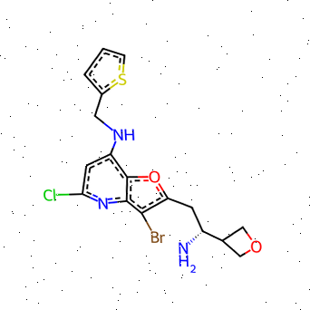 N[C@H](Cc1oc2c(NCc3cccs3)cc(Cl)nc2c1Br)C1COC1